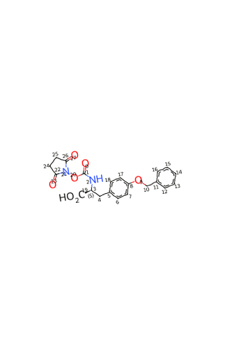 O=C(N[C@@H](Cc1ccc(OCc2ccccc2)cc1)C(=O)O)ON1C(=O)CCC1=O